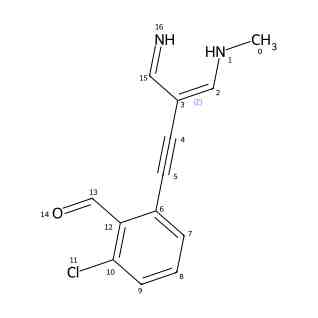 CN/C=C(/C#Cc1cccc(Cl)c1C=O)C=N